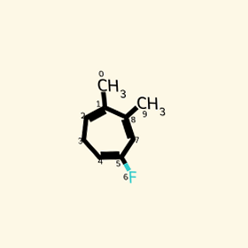 CC1=CCC=C(F)C=C1C